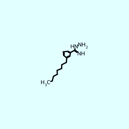 CCCCCCCCc1cccc(C(=N)NN)c1